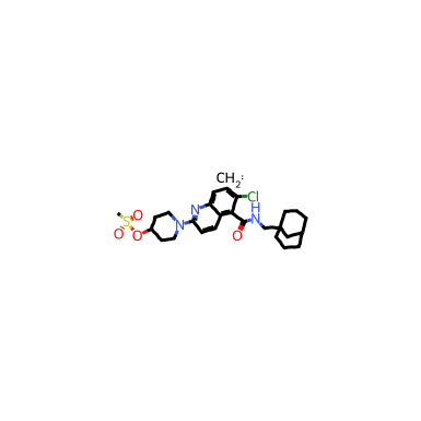 CS(=O)(=O)OC1CCN(c2ccc3c(C(=O)NCC45CCCC(CCC4)C5)c(Cl)ccc3n2)CC1.[CH2]